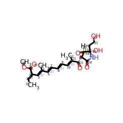 C\C=C(/C=C(C)/C=C/C=C/C=C(\C)C(=O)[C@]12O[C@H]1[C@@](O)(CCO)NC2=O)C(=O)OC